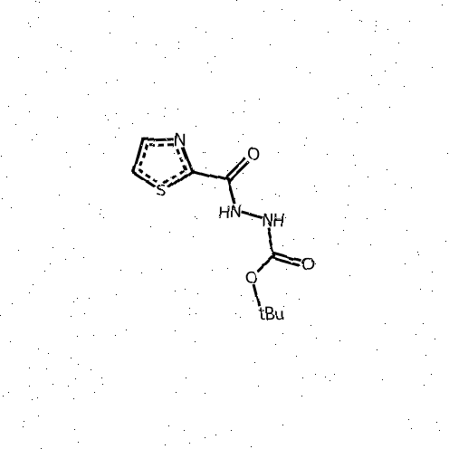 CC(C)(C)OC(=O)NNC(=O)c1nccs1